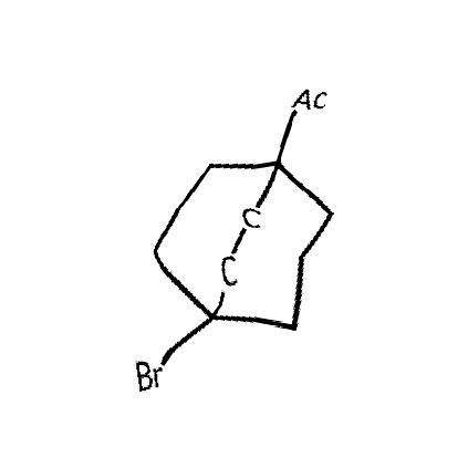 CC(=O)C12CCC(Br)(CC1)CC2